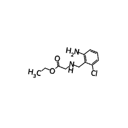 CCOC(=O)CNCc1c(N)cccc1Cl